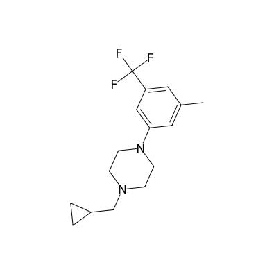 Cc1cc(N2CCN(CC3CC3)CC2)cc(C(F)(F)F)c1